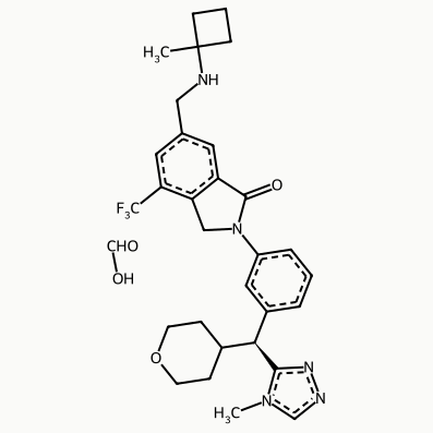 Cn1cnnc1[C@H](c1cccc(N2Cc3c(cc(CNC4(C)CCC4)cc3C(F)(F)F)C2=O)c1)C1CCOCC1.O=CO